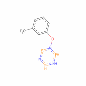 FC(F)(F)c1cccc(On2pn[pH][nH][pH]2)c1